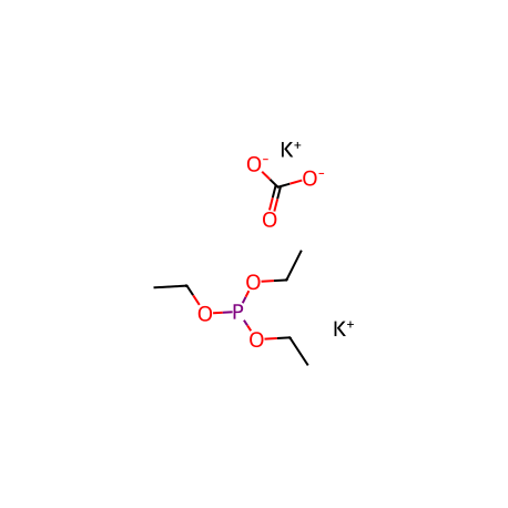 CCOP(OCC)OCC.O=C([O-])[O-].[K+].[K+]